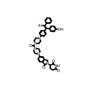 CC/C(=C(/c1ccc(O)cc1)c1ccc(N2CCN(C(=O)N3CCN(c4ccc5c(c4)CN(C4CCC(=O)NC4=O)C5=O)CC3)CC2)cc1)c1ccccc1